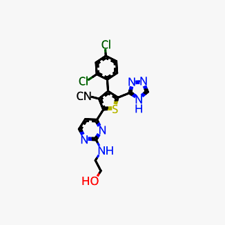 [C-]#[N+]c1c(-c2ccnc(NCCO)n2)sc(-c2nnc[nH]2)c1-c1ccc(Cl)cc1Cl